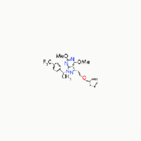 COc1nc(OC)c2c(C=COCc3ccccc3)nn(C(C)c3ccc(C(F)(F)F)cc3)c2n1